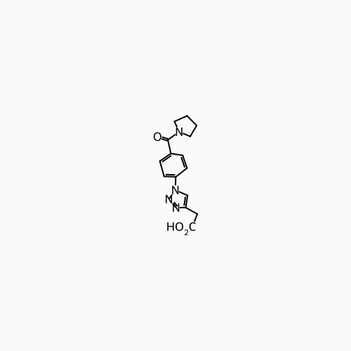 O=C(O)Cc1cn(-c2ccc(C(=O)N3CCCC3)cc2)nn1